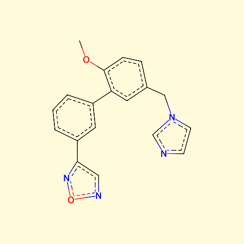 COc1ccc(Cn2ccnc2)cc1-c1cccc(-c2cnon2)c1